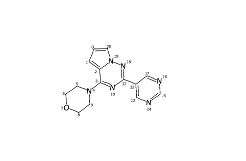 c1cc2c(N3CCOCC3)nc(-c3cncnc3)nn2c1